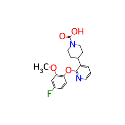 COc1cc(F)ccc1Oc1ncccc1C1CCN(C(=O)O)CC1